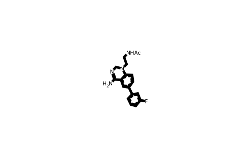 CC(=O)NCCN1CN=C(N)c2cc(-c3cccc(F)c3)ccc21